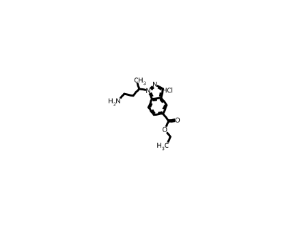 CCOC(=O)c1ccc2c(cnn2C(C)CCN)c1.Cl